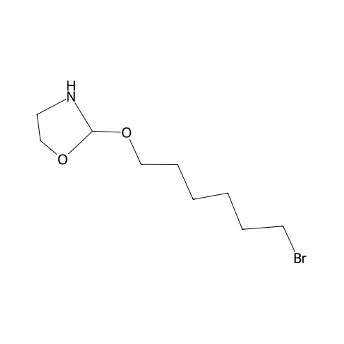 BrCCCCCCOC1NCCO1